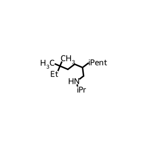 CCCC(C)C(CCC(C)(C)CC)CNC(C)C